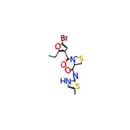 CCc1oc(Br)cc1C(=O)N1CSCC1C(=O)/N=c1\[nH]cc(C)s1